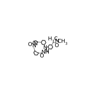 CN(C)C(=O)Cc1ccc2nc3n(c2c1)-c1cccc(c1)-c1ccc(=O)n(n1)Cc1cccc(c1)C(=O)N3